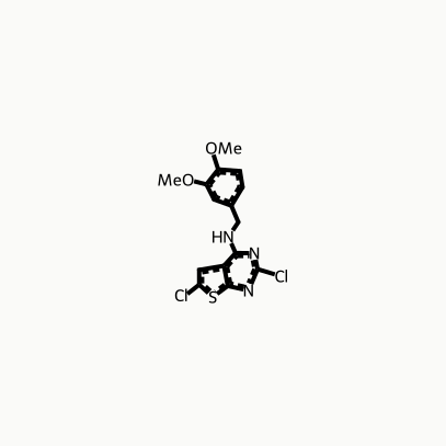 COc1ccc(CNc2nc(Cl)nc3sc(Cl)cc23)cc1OC